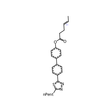 C/C=C/CCC(=O)Oc1ccc(-c2ccc(-c3nnc(CCCCC)s3)cc2)cc1